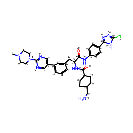 CN1CCN(c2ncc(-c3cccc(C[C@H](NC(=O)C4CCC(CN)CC4)C(=O)Nc4ccc(-c5nnc(Cl)[nH]5)cc4)c3)cn2)CC1